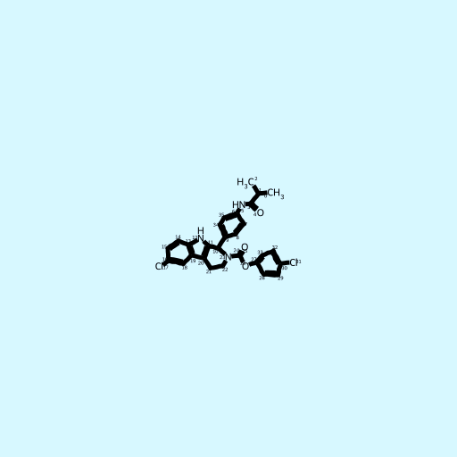 CC(C)C(=O)Nc1ccc(C2c3[nH]c4ccc(Cl)cc4c3CCN2C(=O)Oc2ccc(Cl)cc2)cc1